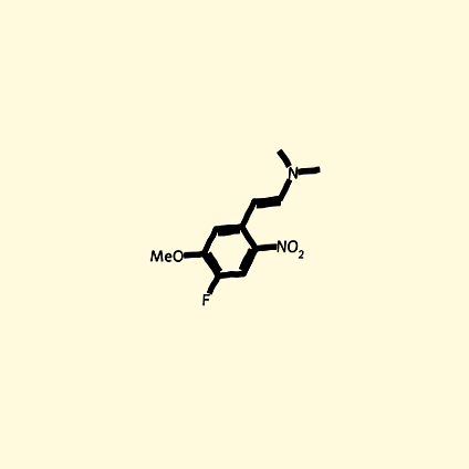 COc1cc(C=CN(C)C)c([N+](=O)[O-])cc1F